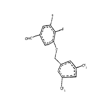 O=Cc1cc(F)c(F)c(OCc2cc(C(F)(F)F)cc(C(F)(F)F)c2)c1